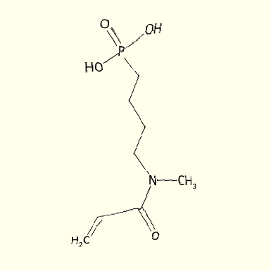 C=CC(=O)N(C)CCCCP(=O)(O)O